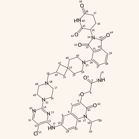 CNC(=O)COc1cc2cc(Nc3nc(N4CCN(CC5CC6(CCN(c7cccc8c7C(=O)N(C7CCC(=O)NC7=O)C8=O)CC6)C5)CC4)ncc3Cl)ccc2n(C(C)C)c1=O